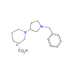 O=C(O)[C@@H]1CCCN(C2CCN(Cc3ccccc3)C2)C1